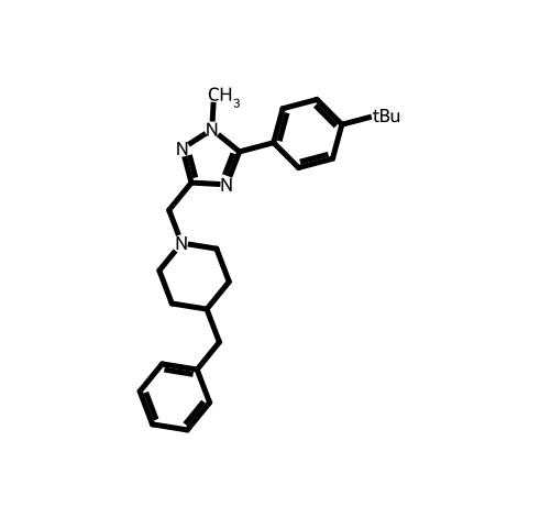 Cn1nc(CN2CCC(Cc3ccccc3)CC2)nc1-c1ccc(C(C)(C)C)cc1